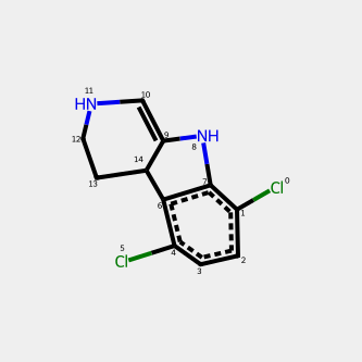 Clc1ccc(Cl)c2c1NC1=CNCCC12